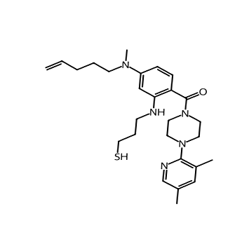 C=CCCCN(C)c1ccc(C(=O)N2CCN(c3ncc(C)cc3C)CC2)c(NCCCS)c1